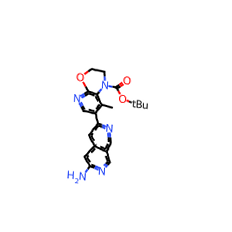 Cc1c(-c2cc3cc(N)ncc3cn2)cnc2c1N(C(=O)OC(C)(C)C)CCO2